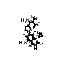 COc1c(N2CCC(C(N)C(C(F)F)C(F)F)C2)c(F)c(N)c2c(=O)[nH]c(=O)n(C3CC3)c12